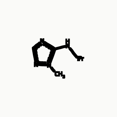 CC(C)Nc1ncnn1C